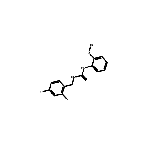 CCOc1ccccc1NC(=S)NCc1ccc(C(F)(F)F)cc1F